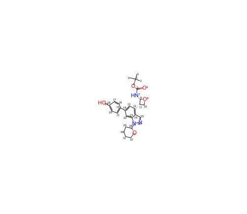 CC(C)(C)OC(=O)N[C@@H]1OC[C@@H]1c1cc(-c2ccc(O)cc2)cc2c1cnn2C1CCCCO1